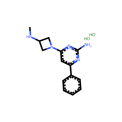 CNC1CN(c2cc(-c3ccccc3)nc(N)n2)C1.Cl.Cl